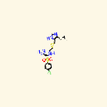 Cc1nc[nH]c1CSCCNC(=CN)S(=O)(=O)c1ccc(Cl)cc1